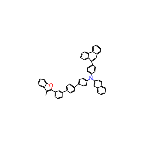 Cc1c(-c2cccc(-c3ccc(-c4ccc(N(c5ccc(-c6cc7ccccc7c7ccccc67)cc5)c5ccc6ccccc6c5)cc4)cc3)c2)oc2ccccc12